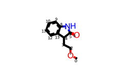 COCCC1C(=O)Nc2ccccc21